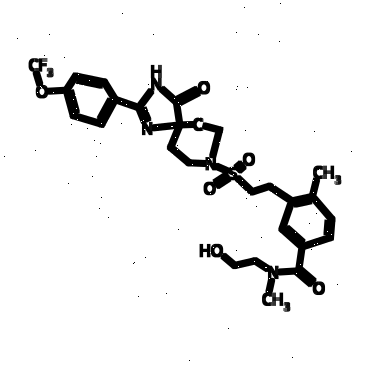 Cc1ccc(C(=O)N(C)CCO)cc1CCS(=O)(=O)N1CCC2(CC1)N=C(c1ccc(OC(F)(F)F)cc1)NC2=O